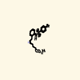 O=C(O)CCC/C=C\CC1CCCCC1NS(=O)(=O)c1ccc(Br)cc1